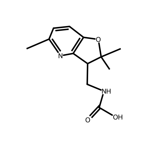 Cc1ccc2c(n1)C(CNC(=O)O)C(C)(C)O2